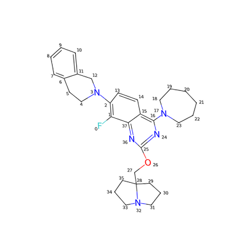 Fc1c(N2CCc3ccccc3C2)ccc2c(N3CCCCCC3)nc(OCC34CCCN3CCC4)nc12